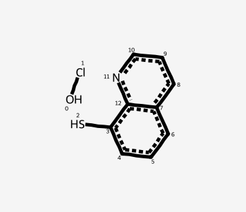 OCl.Sc1cccc2cccnc12